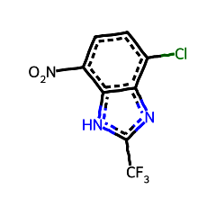 O=[N+]([O-])c1ccc(Cl)c2nc(C(F)(F)F)[nH]c12